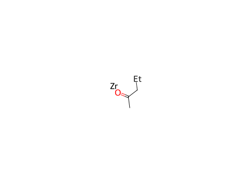 CCCC(C)=O.[Zr]